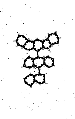 c1ccc2c(-c3c4ccccc4c(-c4c5sc6ccccc6c5cc5c4sc4ccccc45)c4ccccc34)cccc2c1